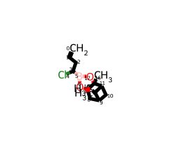 C=CCC(Cl)B1OC2CC3CC(C3(C)C)C2(C)O1